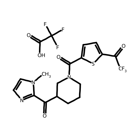 Cn1ccnc1C(=O)C1CCCN(C(=O)c2ccc(C(=O)C(F)(F)F)s2)C1.O=C(O)C(F)(F)F